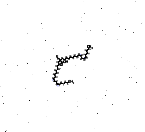 CCCCC/C=C\C/C=C\CCCCCCCCC(C#N)(CCCCCCCC/C=C\C/C=C\CCCCC)C(=O)O